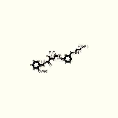 CCNCCNCc1cccc(N/N=C(\C=C(/C)C(=O)NCc2ccccc2OC)C(F)(F)F)c1